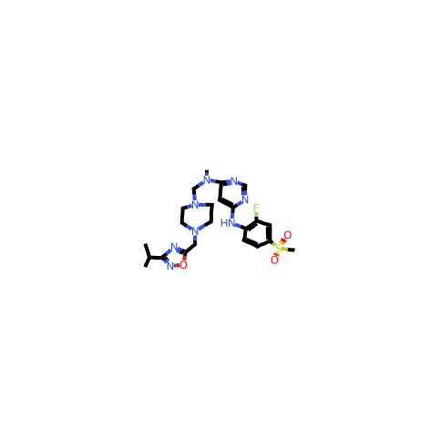 CC(C)c1noc(CN2CCN(CN(C)c3cc(Nc4ccc(S(C)(=O)=O)cc4F)ncn3)CC2)n1